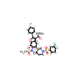 CNC(=O)c1c(-c2ccc(F)cc2)oc2cc(N(C)S(C)(=O)=O)c([C@@H]3CCCN(S(=O)(=O)c4cccc(F)c4)C3)cc12